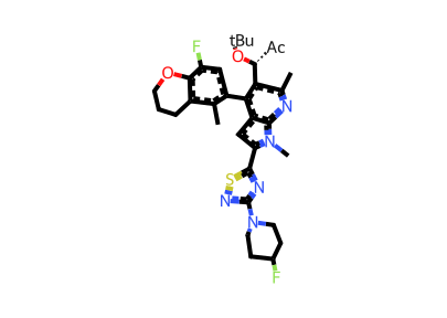 CC(=O)[C@@H](OC(C)(C)C)c1c(C)nc2c(cc(-c3nc(N4CCC(F)CC4)ns3)n2C)c1-c1cc(F)c2c(c1C)CCCO2